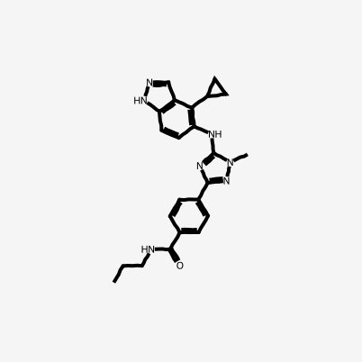 CCCNC(=O)c1ccc(-c2nc(Nc3ccc4[nH]ncc4c3C3CC3)n(C)n2)cc1